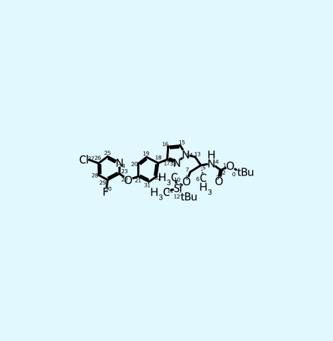 CC(C)(C)OC(=O)N[C@@](C)(CO[Si](C)(C)C(C)(C)C)Cn1ccc(-c2ccc(Oc3ncc(Cl)cc3F)cc2)n1